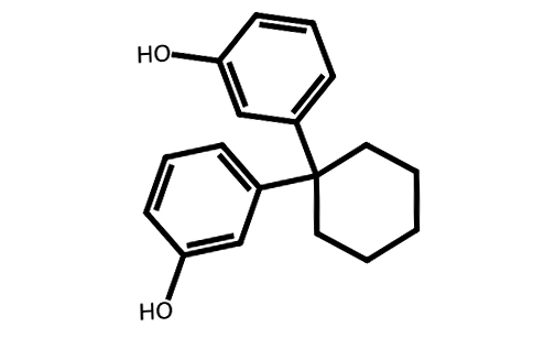 Oc1cccc(C2(c3cccc(O)c3)CCCCC2)c1